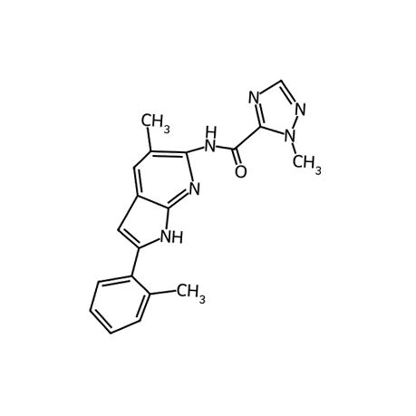 Cc1ccccc1-c1cc2cc(C)c(NC(=O)c3ncnn3C)nc2[nH]1